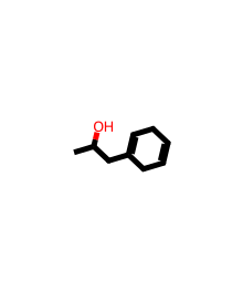 CC(O)CC1=CCC=CC1